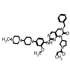 C=CC(=O)N1CC[C@H](N2C(=O)N(Cc3ccccc3)Cc3cnc(Nc4ccc(N5CCC(N6CCN(C)CC6)CC5)cc4OC)nc32)C1